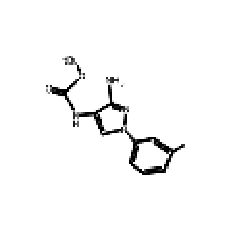 Cc1cccc(-n2cc(NC(=O)OC(C)(C)C)c(N)n2)c1